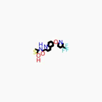 O=C(NC1CSC1O)c1ccc2cc(Oc3ccc(C(F)(F)F)cn3)ccc2n1